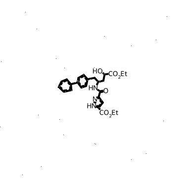 CCOC(=O)c1cc(C(=O)NC(Cc2ccc(-c3ccccc3)cc2)CC(O)C(=O)OCC)n[nH]1